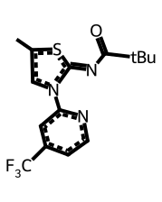 Cc1cn(-c2cc(C(F)(F)F)ccn2)/c(=N/C(=O)C(C)(C)C)s1